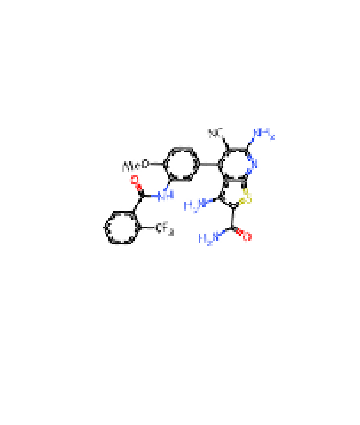 COc1ccc(-c2c(C#N)c(N)nc3sc(C(N)=O)c(N)c23)cc1NC(=O)c1ccccc1C(F)(F)F